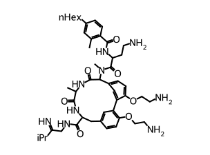 CCCCCCc1ccc(C(=O)NC(CCN)C(=O)N(C)C2C(=O)NC(C)C(=O)NC(C(=O)NCC(=N)C(C)C)Cc3ccc(OCCN)c(c3)-c3cc2ccc3OCCN)c(C)c1